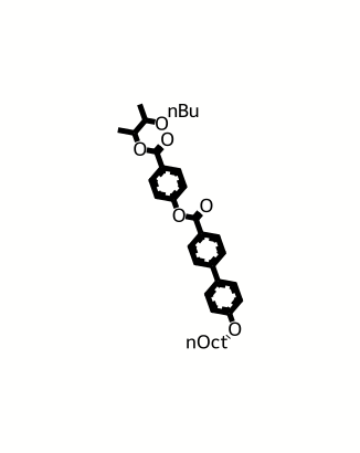 CCCCCCCCOc1ccc(-c2ccc(C(=O)Oc3ccc(C(=O)OC(C)C(C)OCCCC)cc3)cc2)cc1